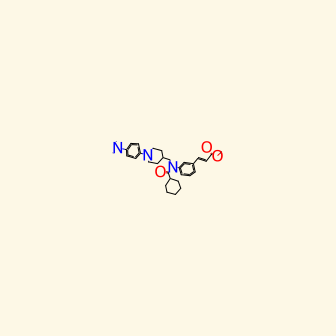 COC(=O)/C=C/c1cccc(N(CC2CCN(c3ccc(N(C)C)cc3)CC2)C(=O)C2CCCCC2)c1